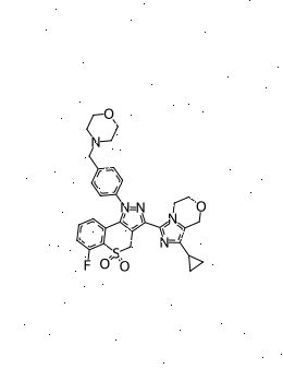 O=S1(=O)Cc2c(-c3nc(C4CC4)c4n3CCOC4)nn(-c3ccc(CN4CCOCC4)cc3)c2-c2cccc(F)c21